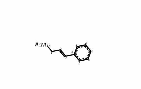 CC(=O)NCC=Cc1ccccc1